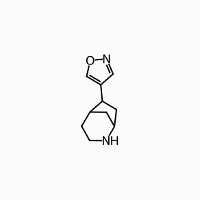 c1nocc1C1CC2CC1CCN2